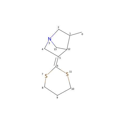 CC1CN2CC(=C3SCCCS3)C1C2